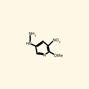 COc1ncc(NN)cc1[N+](=O)[O-]